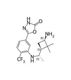 C[C@H](Nc1cc(-c2n[nH]c(=O)o2)ccc1C(F)(F)F)[C@H]1C[C@@H](N)C1(C)C